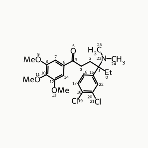 CCC(CCC(=O)c1cc(OC)c(OC)c(OC)c1)(c1ccc(Cl)c(Cl)c1)N(C)C